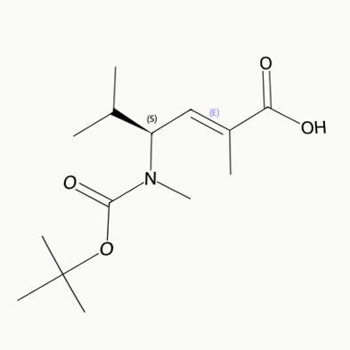 C/C(=C\[C@H](C(C)C)N(C)C(=O)OC(C)(C)C)C(=O)O